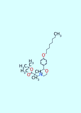 CCCCCCCCOc1ccc(C2CN(CC(C)(C)C(=O)OC(C)(C)C)CCO2)cc1